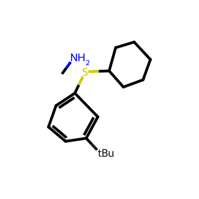 CC(C)(C)c1cccc(SC2CCCCC2)c1.CN